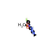 CCCS(=O)(=O)N(Cc1ccc(F)cc1)c1ccc(N2CCN(C3CC3)CC2)nc1